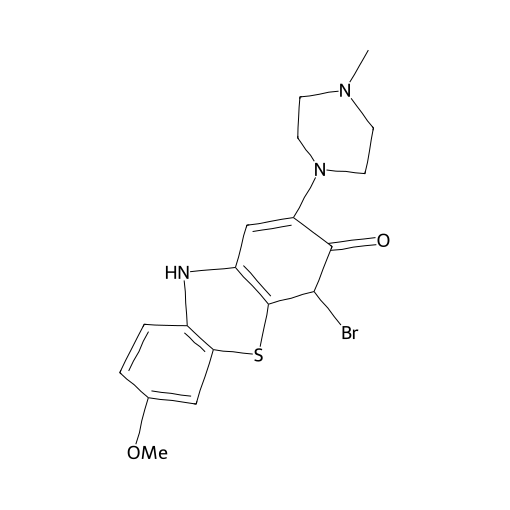 COc1ccc2c(c1)SC1=C(C=C(N3CCN(C)CC3)C(=O)C1Br)N2